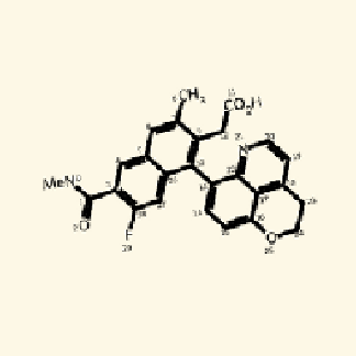 CNC(=O)c1cc2cc(C)c(CC(=O)O)c(-c3ccc4c5c(ccnc35)CCO4)c2cc1F